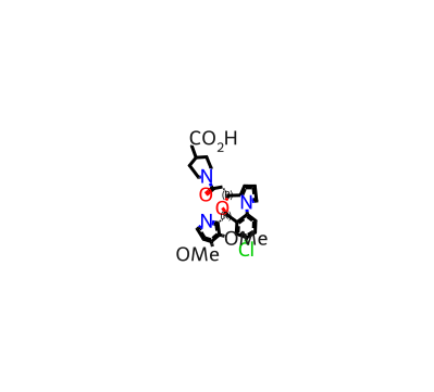 COc1ccnc([C@@H]2O[C@H](CC(=O)N3CCC(CC(=O)O)CC3)c3cccn3-c3ccc(Cl)cc32)c1OC